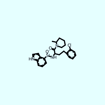 CC1CCCCN1C(=O)C(CCc1ccccc1Cl)N[S+]([O-])c1cccc2[nH]ccc12